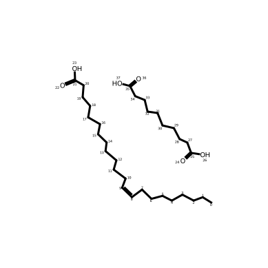 CCCCCCCC/C=C\CCCCCCCCCCCC(=O)O.O=C(O)CCCCCCCCC(=O)O